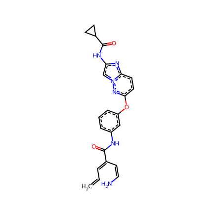 C=C/C=C(\C=C/N)C(=O)Nc1cccc(Oc2ccc3nc(NC(=O)C4CC4)cn3n2)c1